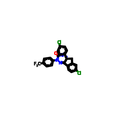 NC(=O)N(/N=C1/c2ccc(Cl)cc2CC1c1ccc(Cl)cc1)c1ccc(C(F)(F)F)cc1